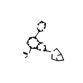 O=S(=O)(c1ccc(-c2nccs2)c2oc(N3CC4CC(C3)N4)nc12)C(F)(F)F